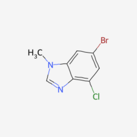 Cn1cnc2c(Cl)cc(Br)cc21